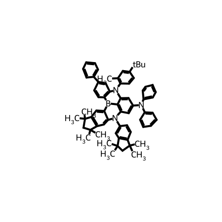 Cc1cc(C(C)(C)C)ccc1N1c2cc(-c3ccccc3)ccc2B2c3cc4c(cc3N(c3ccc5c(c3)C(C)(C)CC5(C)C)c3cc(N(c5ccccc5)c5ccccc5)cc1c32)C(C)(C)CC4(C)C